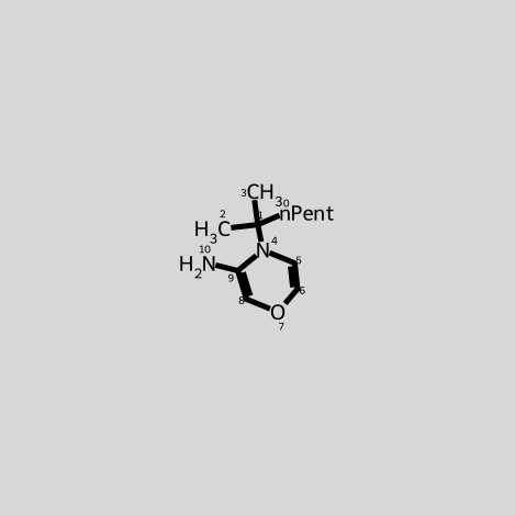 CCCCCC(C)(C)N1C=COC=C1N